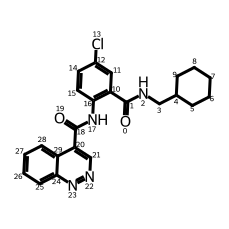 O=C(NCC1CCCCC1)c1cc(Cl)ccc1NC(=O)c1cnnc2ccccc12